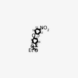 CCS(=O)(=O)Cc1ccc(Oc2ccc([N+](=O)[O-])cc2)cc1